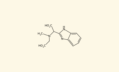 CN(CC(=O)O)C(C(=O)O)c1nc2ccccc2[nH]1